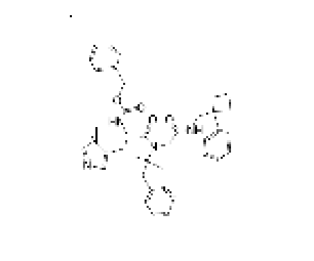 CC(C)(Cc1ccccc1)N(CC(=O)NCC1(c2ccccc2)CCC1)C(=O)C(Cc1cnc[nH]1)NC(=O)OCc1ccccc1